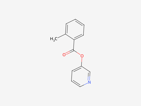 Cc1ccccc1C(=O)Oc1cccnc1